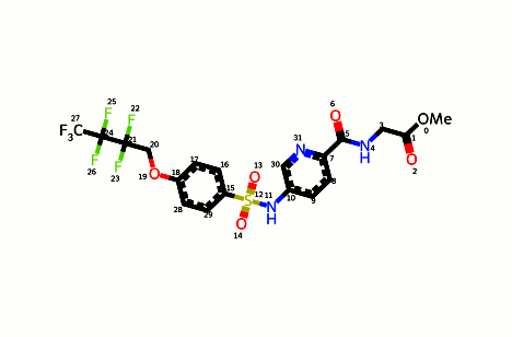 COC(=O)CNC(=O)c1ccc(NS(=O)(=O)c2ccc(OCC(F)(F)C(F)(F)C(F)(F)F)cc2)cn1